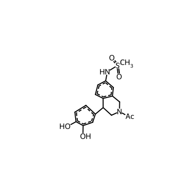 CC(=O)N1Cc2cc(NS(C)(=O)=O)ccc2C(c2ccc(O)c(O)c2)C1